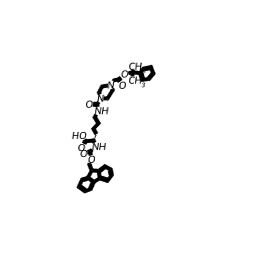 CC(C)(OC(=O)CN1CCN(C(=O)NCCCC[C@H](NC(=O)OCC2c3ccccc3-c3ccccc32)C(=O)O)CC1)c1ccccc1